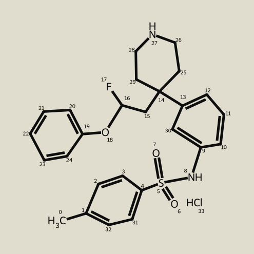 Cc1ccc(S(=O)(=O)Nc2cccc(C3(CC(F)Oc4ccccc4)CCNCC3)c2)cc1.Cl